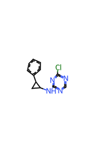 Clc1ncnc(NC2CC2c2ccccc2)n1